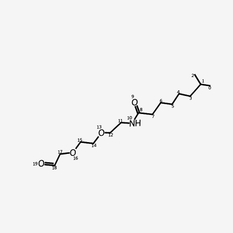 CC(C)CCCCCC(=O)NCCOCCOCC=O